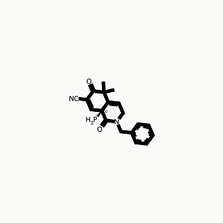 CC1(C)C(=O)C(C#N)=C[C@@]2(P)C(=O)N(Cc3ccccc3)CC=C12